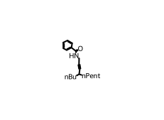 CCCCCC(C#CCNC(=O)c1ccccc1)CCCC